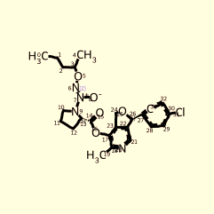 CCCC(C)O/N=[N+](\[O-])N1CCC[C@H]1C(=O)Oc1c(C)ncc2c1CO[C@H]2c1ccc(Cl)cc1